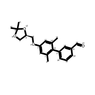 Cc1cc(OC[C@H]2COC(C)(C)O2)cc(C)c1-c1cccc(C=O)c1